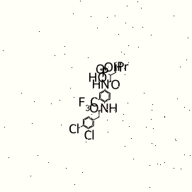 CC(C)CC(C(=O)Nc1ccc(NC(=O)Cc2ccc(Cl)c(Cl)c2)c(C(F)(F)F)c1)P(=O)(O)O